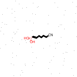 N#CCCCCC=CB(O)O